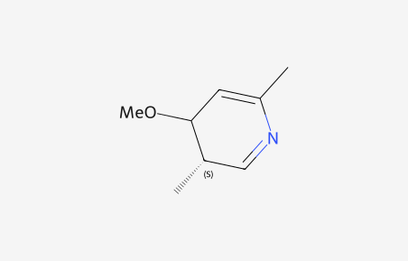 COC1C=C(C)N=C[C@@H]1C